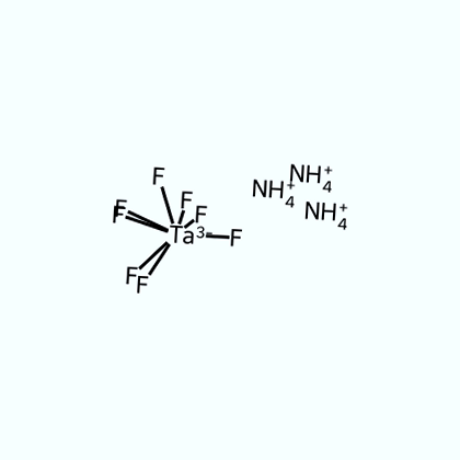 [F][Ta-3]([F])([F])([F])([F])([F])([F])[F].[NH4+].[NH4+].[NH4+]